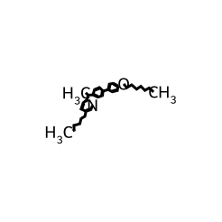 CCCCCCCOc1ccc(-c2ccc(C(C)c3ccc(CCCCCC)cn3)cc2)cc1